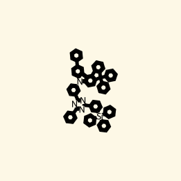 c1ccc(-c2ccc3c(c2)c2c4c(ccc2n3-c2cccc(-c3nc(-c5ccccc5)nc(-c5cccc([Si](c6ccccc6)(c6ccccc6)c6ccccc6)c5)n3)c2)C(c2ccccc2)(c2ccccc2)c2ccccc2-4)cc1